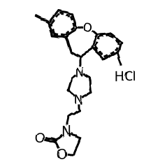 Cc1ccc2c(c1)CC(N1CCN(CCN3CCOC3=O)CC1)c1cc(C)ccc1O2.Cl